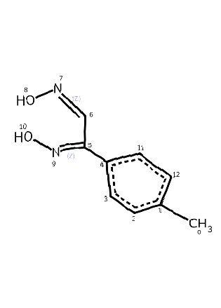 Cc1ccc(C(/C=N\O)=N/O)cc1